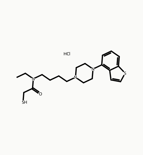 CCN(CCCCN1CCN(c2cccc3sccc23)CC1)C(=O)CS.Cl